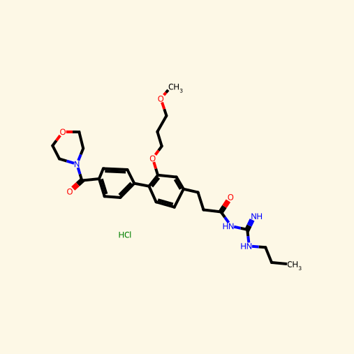 CCCNC(=N)NC(=O)CCc1ccc(-c2ccc(C(=O)N3CCOCC3)cc2)c(OCCCOC)c1.Cl